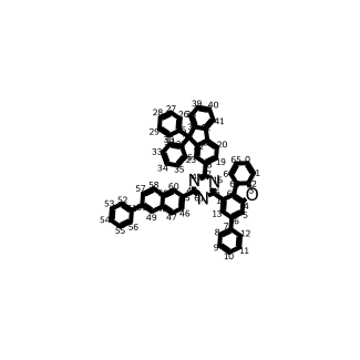 C1=CC2Oc3cc(-c4ccccc4)cc(-c4nc(-c5ccc6c(c5)C(c5ccccc5)(c5ccccc5)c5ccccc5-6)nc(-c5ccc6cc(-c7ccccc7)ccc6c5)n4)c3C2C=C1